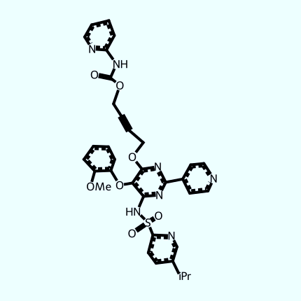 COc1ccccc1Oc1c(NS(=O)(=O)c2ccc(C(C)C)cn2)nc(-c2ccncc2)nc1OCC#CCOC(=O)Nc1ccccn1